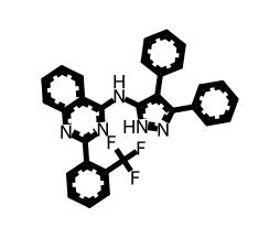 FC(F)(F)c1ccccc1-c1nc(Nc2[nH]nc(-c3ccccc3)c2-c2ccccc2)c2ccccc2n1